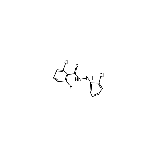 Fc1cccc(Cl)c1C(=S)NNc1ccccc1Cl